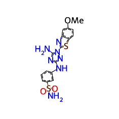 COc1ccc2sc(-n3nc(Nc4cccc(S(N)(=O)=O)c4)nc3N)nc2c1